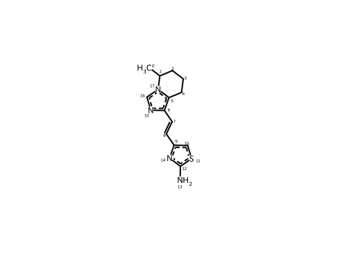 CC1CCCc2c(C=Cc3csc(N)n3)ncn21